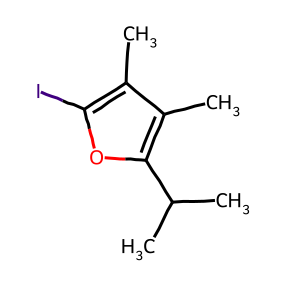 Cc1c(I)oc(C(C)C)c1C